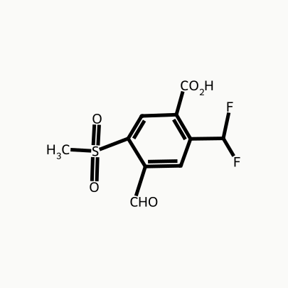 CS(=O)(=O)c1cc(C(=O)O)c(C(F)F)cc1C=O